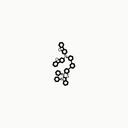 c1ccc(N2c3ccc(-c4cccc(-c5cccc(N(c6ccc7c(c6)oc6ccccc67)c6ccc7c(c6)oc6ccccc67)c5)c4)cc3Sc3c2n(-c2ccccc2)c2ccccc32)cc1